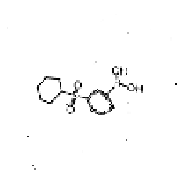 O=S(=O)(c1cccc(B(O)O)c1)C1CCCCC1